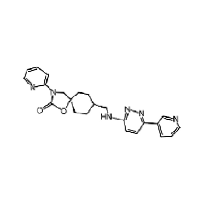 O=C1O[C@]2(CC[C@H](CNc3ccc(-c4cccnc4)nn3)CC2)CN1c1ccccn1